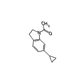 CC(=O)N1CCc2ccc(C3CC3)cc21